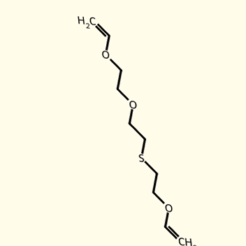 C=COCCOCCSCCOC=C